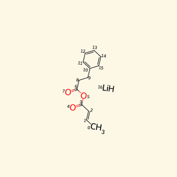 C/C=C/C(=O)OC(=O)CCc1ccccc1.[LiH]